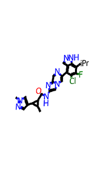 CC(C)c1c(F)c(Cl)c(-c2cn3cc(NC(=O)C4C(C)C4c4cnn(C)c4)nc3cn2)c2cn[nH]c12